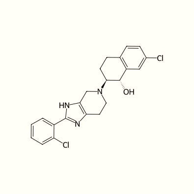 O[C@H]1c2cc(Cl)ccc2CC[C@@H]1N1CCc2nc(-c3ccccc3Cl)[nH]c2C1